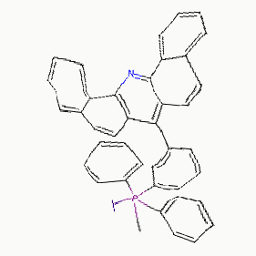 CP(I)(c1ccccc1)(c1ccccc1)c1cccc(-c2c3ccc4ccccc4c3nc3c2ccc2ccccc23)c1